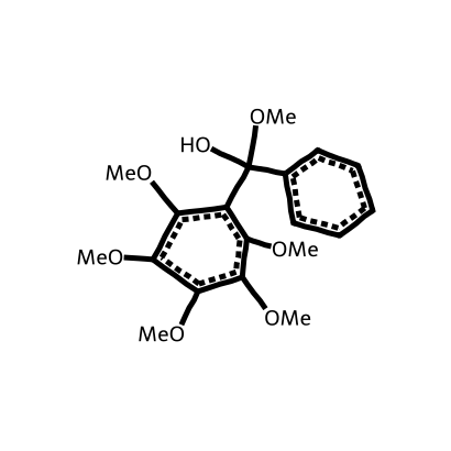 COc1c(OC)c(OC)c(C(O)(OC)c2ccccc2)c(OC)c1OC